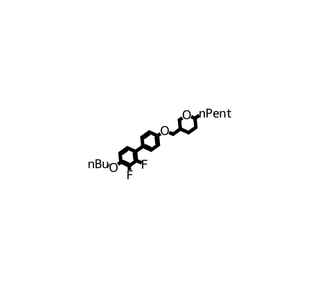 CCCCCC1CCC(COc2ccc(-c3ccc(OCCCC)c(F)c3F)cc2)CO1